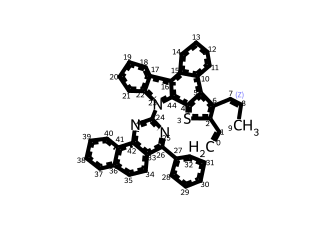 C=Cc1sc2c(c1/C=C\C)c1ccccc1c1c3ccccc3n(-c3nc(-c4ccccc4)c4ccc5ccccc5c4n3)c21